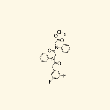 COC(=O)CN(C(=O)CN(C(=O)Cc1cc(F)cc(F)c1)c1ccccc1)c1ccccc1